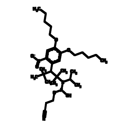 CCCCCOc1cc(C(C(C)(C)C)C(C)(C)N(C(C)C)P(O)OCCC#N)c([N+](=O)[O-])cc1OCCCCC